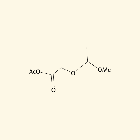 COC(C)OCC(=O)OC(C)=O